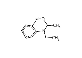 CCN(c1ccccc1F)C(C)O